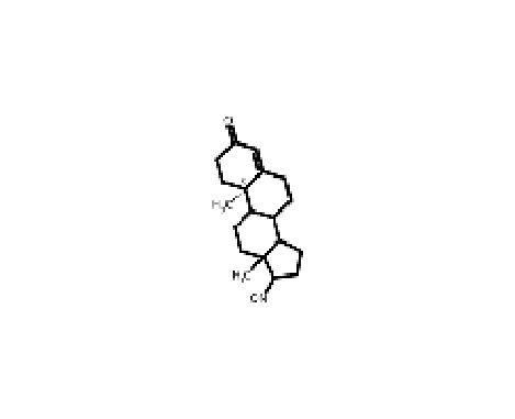 CC12CCC3C(CCC4=CC(=O)CC[C@@]43C)C1CCC2N=O